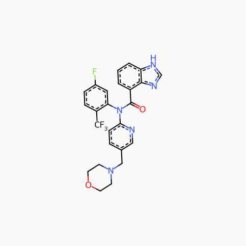 O=C(c1cccc2[nH]cnc12)N(c1ccc(CN2CCOCC2)cn1)c1cc(F)ccc1C(F)(F)F